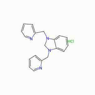 Cl.c1ccc(CN2CN(Cc3ccccn3)c3ccccc32)nc1